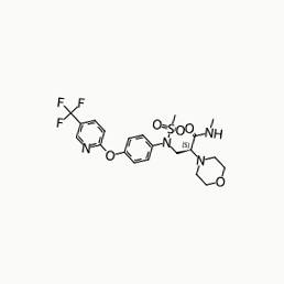 CNC(=O)[C@H](CN(c1ccc(Oc2ccc(C(F)(F)F)cn2)cc1)S(C)(=O)=O)N1CCOCC1